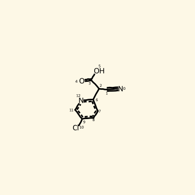 N#CC(C(=O)O)c1ccc(Cl)cn1